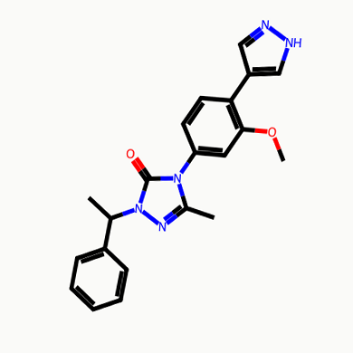 COc1cc(-n2c(C)nn(C(C)c3ccccc3)c2=O)ccc1-c1cn[nH]c1